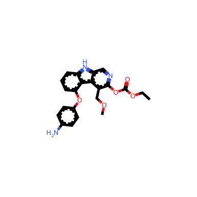 CCOC(=O)Oc1ncc2[nH]c3cccc(Oc4ccc(N)cc4)c3c2c1COC